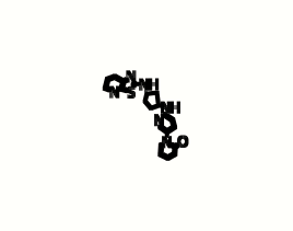 O=c1ccccn1-c1ccc(N[C@H]2CC[C@H](Nc3nc4cccnc4s3)C2)nc1